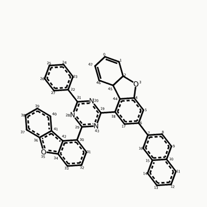 C1=CC2Oc3cc(-c4ccc5ccccc5c4)cc(-c4nc(-c5ccccc5)nc(-c5cccc6oc7ccccc7c56)n4)c3C2C=C1